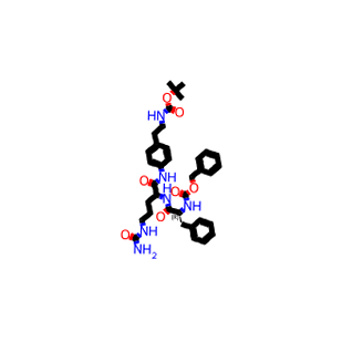 CC(C)(C)OC(=O)NCCc1ccc(NC(=O)C(CCCNC(N)=O)NC(=O)[C@@H](Cc2ccccc2)NC(=O)OCc2ccccc2)cc1